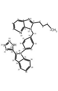 CCCCc1nc2cccnc2n1Cc1ccc(-n2c(-c3nnn[nH]3)cc3ccccc32)cc1